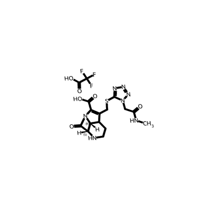 CNC(=O)Cn1nnnc1SCC1=C(C(=O)O)N2C(=O)[C@H]3NCCC1[C@H]32.O=C(O)C(F)(F)F